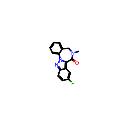 CN1Cc2ccccc2-n2nc3ccc(F)cc3c2C1=O